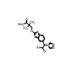 CCC(CC)C(c1ccc2nc(OCC(C)(C)C(=O)OC)sc2c1)n1cnnc1